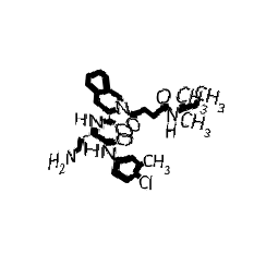 CCC(C)(C)NC(=O)CCC(=O)N1Cc2ccccc2C[C@H]1C(=O)N[C@@H](CCN)C(=O)Nc1ccc(Cl)c(C)c1